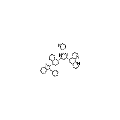 c1ccc(-n2c(-c3ccc(-c4cc(-c5cc6cccnc6c6ncccc56)nc(-c5cccnc5)n4)c4ccccc34)nc3ccccc32)cc1